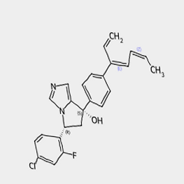 C=C/C(=C\C=C/C)c1ccc([C@@]2(O)C[C@H](c3ccc(Cl)cc3F)n3cncc32)cc1